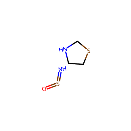 C1CSCN1.N=S=O